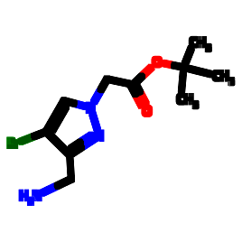 CC(C)(C)OC(=O)Cn1cc(Br)c(CN)n1